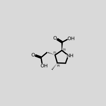 C[C@H]1CN[C@H](C(=O)O)[C@H]1CC(=O)O